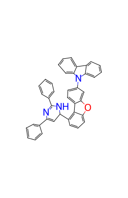 C1=C(c2ccccc2)N=C(c2ccccc2)NC1c1cccc2oc3cc(-n4c5ccccc5c5ccccc54)ccc3c12